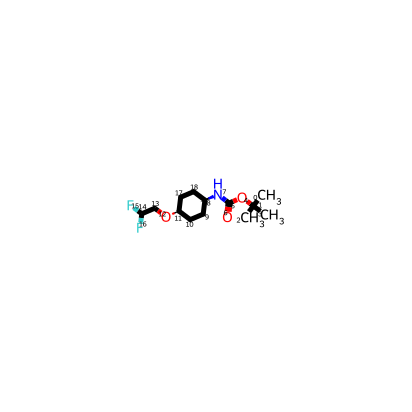 CC(C)(C)OC(=O)N[C@H]1CC[C@H](OCC(F)F)CC1